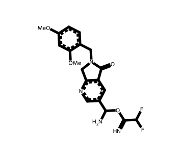 COc1ccc(CN2Cc3ncc(C(N)OC(=N)C(F)F)cc3C2=O)c(OC)c1